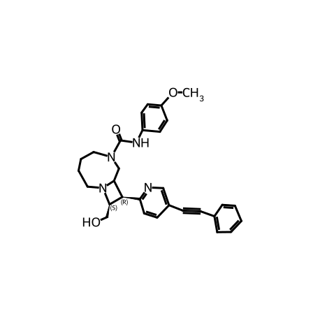 COc1ccc(NC(=O)N2CCCCN3C(C2)[C@@H](c2ccc(C#Cc4ccccc4)cn2)[C@H]3CO)cc1